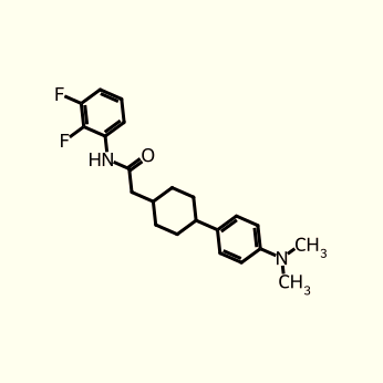 CN(C)c1ccc(C2CCC(CC(=O)Nc3cccc(F)c3F)CC2)cc1